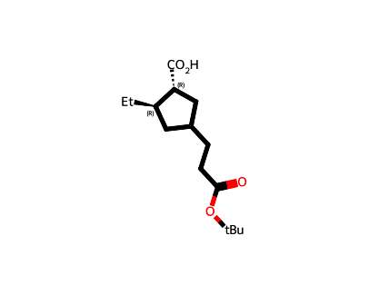 CC[C@@H]1CC(CCC(=O)OC(C)(C)C)C[C@H]1C(=O)O